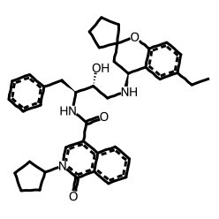 CCc1ccc2c(c1)[C@@H](NC[C@@H](O)[C@H](Cc1ccccc1)NC(=O)c1cn(C3CCCC3)c(=O)c3ccccc13)CC1(CCCC1)O2